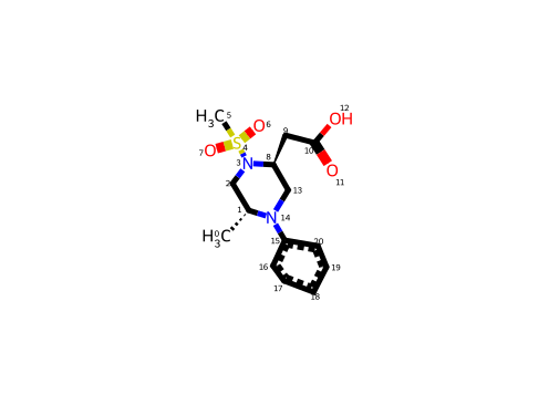 C[C@@H]1CN(S(C)(=O)=O)[C@@H](CC(=O)O)CN1c1ccccc1